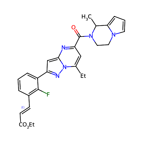 CCOC(=O)/C=C/c1cccc(-c2cc3nc(C(=O)N4CCn5cccc5C4C)cc(CC)n3n2)c1F